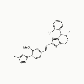 COc1nc(/C=C/c2nc3n(n2)CC[C@@H](C)N3c2ccccc2C(F)(F)F)ccc1-n1cnc(C)c1